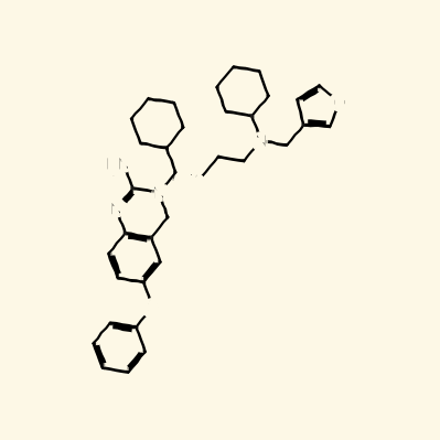 NC1=Nc2ccc(Oc3ccccc3)cc2CN1[C@@H](CCCN(Cc1ccoc1)C1CCCCC1)C1CCCCC1